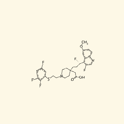 COc1ccc2ncc(F)c([C@@H](F)CCC3(CC(=O)O)CCN(CCSc4cc(F)cc(F)c4F)CC3)c2c1